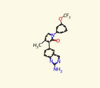 Cc1ccn(-c2cccc(OC(F)(F)F)c2)c(=O)c1-c1ccc2nc(N)ncc2c1